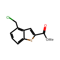 COC(=O)c1cc2c(CCl)cccc2s1